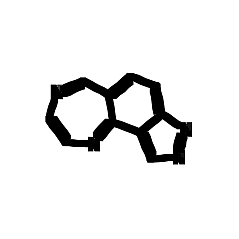 c1cnc2c(ccc3nncc32)cn1